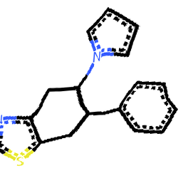 c1ccc(C2Cc3scnc3CC2n2cccc2)cc1